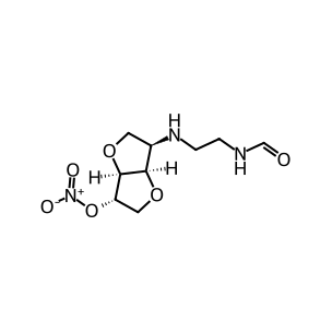 O=CNCCN[C@@H]1CO[C@H]2[C@@H]1OC[C@@H]2O[N+](=O)[O-]